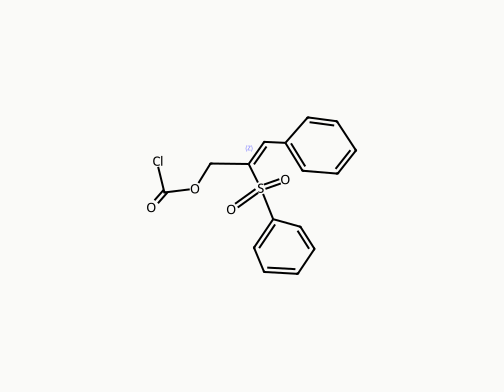 O=C(Cl)OC/C(=C/c1ccccc1)S(=O)(=O)c1ccccc1